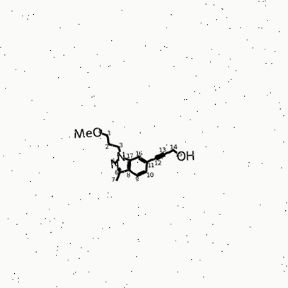 COCCCn1nc(C)c2ccc(C#CCO)cc21